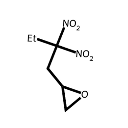 [CH2]CC(CC1CO1)([N+](=O)[O-])[N+](=O)[O-]